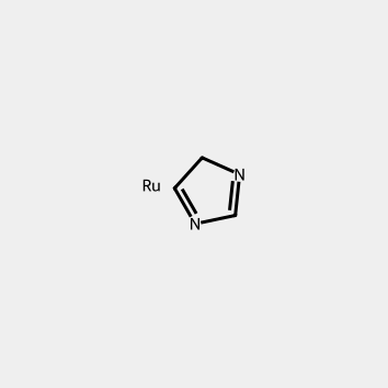 C1=NC=NC1.[Ru]